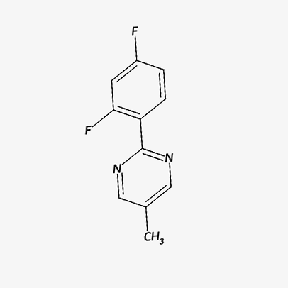 Cc1cnc(-c2ccc(F)cc2F)nc1